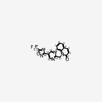 O=c1ccc2ccccc2n1Cc1ncc(-c2noc(C(F)(F)F)n2)cn1